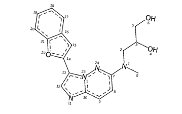 CN(CC(O)CO)c1ccc2ncc(-c3cc4ccccc4o3)n2n1